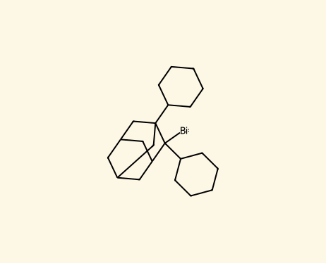 [Bi][C]1(C2CCCCC2)C2CC3CC(C2)CC1(C1CCCCC1)C3